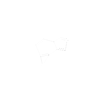 C1=CC2C=NC=C2C2=C1O2